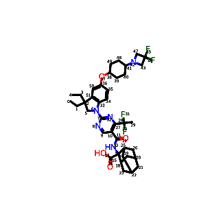 CCC1(CC)CN(c2ncc(C(=O)NC3(C(=O)O)C4CC5CC(C4)CC3C5)c(C(C)(F)F)n2)c2ccc(OC3CCC(N4CC(F)(F)C4)CC3)cc21